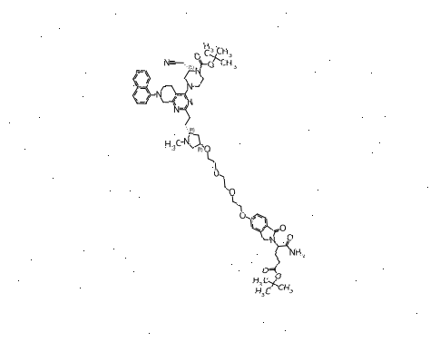 CN1C[C@H](OCCOCCOCCOc2ccc3c(c2)CN(C(CCC(=O)OC(C)(C)C)C(N)=O)C3=O)C[C@H]1CCc1nc2c(c(N3CCN(C(=O)OC(C)(C)C)[C@@H](CC#N)C3)n1)CCN(c1cccc3ccccc13)C2